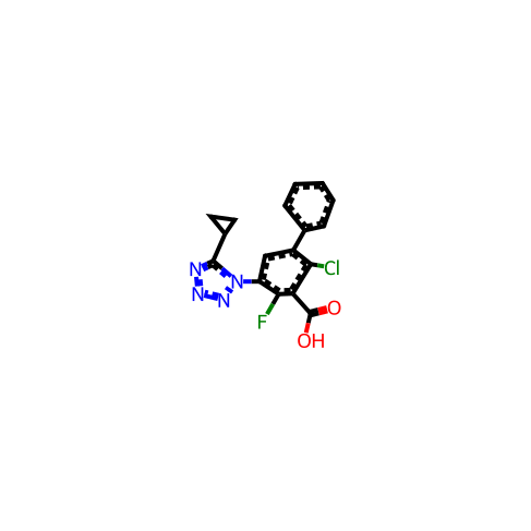 O=C(O)c1c(F)c(-n2nnnc2C2CC2)cc(-c2ccccc2)c1Cl